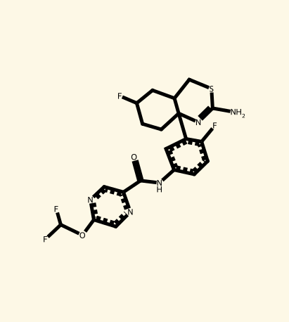 NC1=NC2(c3cc(NC(=O)c4cnc(OC(F)F)cn4)ccc3F)CCC(F)CC2CS1